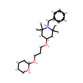 CC1(C)CC(OCCCOC2CCCCO2)CC(C)(C)N1Cc1ccccc1